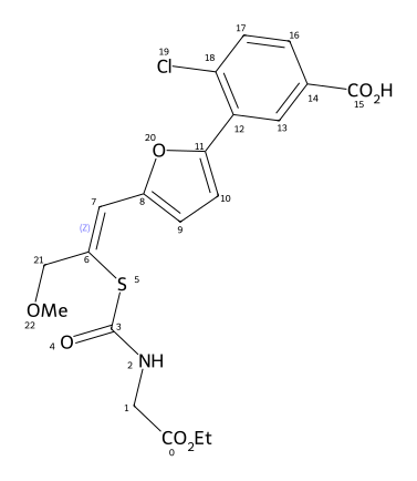 CCOC(=O)CNC(=O)S/C(=C\c1ccc(-c2cc(C(=O)O)ccc2Cl)o1)COC